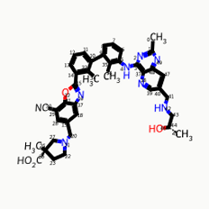 Cc1nc(Nc2cccc(-c3cccc(-c4nc5cc(CN6CC[C@@](C)(C(=O)O)C6)cc(C#N)c5o4)c3C)c2C)c2ncc(CNC[C@H](C)O)cc2n1